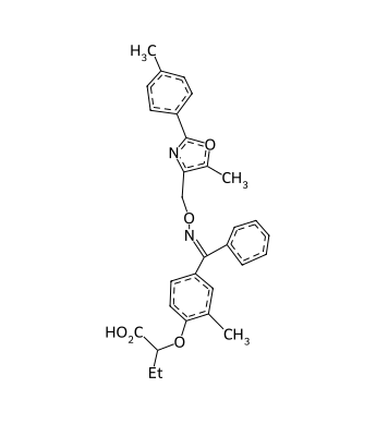 CCC(Oc1ccc(C(=NOCc2nc(-c3ccc(C)cc3)oc2C)c2ccccc2)cc1C)C(=O)O